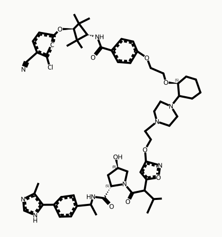 Cc1nc[nH]c1-c1ccc(C(C)NC(=O)[C@@H]2C[C@@H](O)CN2C(=O)C(c2cc(OCCN3CCN(C4CCCC[C@@H]4OCCOc4ccc(C(=O)N[C@H]5C(C)(C)[C@H](Oc6ccc(C#N)c(Cl)c6)C5(C)C)cc4)CC3)no2)C(C)C)cc1